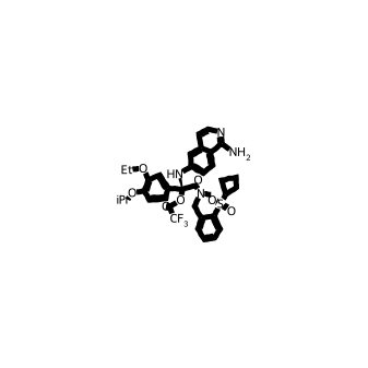 CCOc1cc([C@@](Nc2ccc3c(N)nccc3c2)(OC(=O)C(F)(F)F)C(=O)N(C)Cc2ccccc2S(=O)(=O)C2CCC2)ccc1OC(C)C